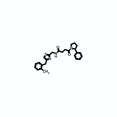 Cc1ccccc1Cc1csc(CNC(=O)CCC(=O)N2CCCC2c2ccccc2)n1